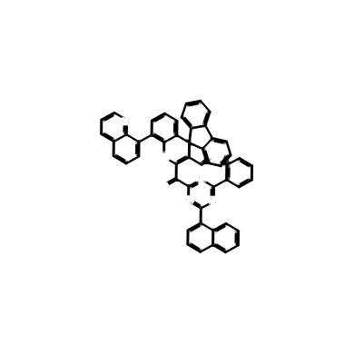 C=CC1=C(C(=C)c2nc(-c3ccccc3)nc(-c3cccc4ccccc34)n2)Oc2c(-c3cccc4cccnc34)cccc2C12c1ccccc1-c1ccccc12